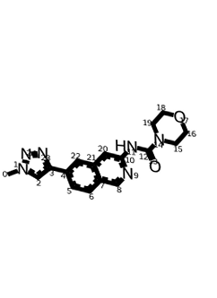 Cn1cc(-c2ccc3cnc(NC(=O)N4CCOCC4)cc3c2)nn1